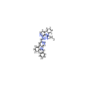 Cn1c2ccccc2c2ccnc(NCc3cc4c5ccccc5n(Cc5ccccc5)c4cn3)c21